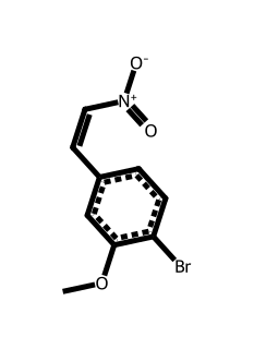 COc1cc(/C=C\[N+](=O)[O-])ccc1Br